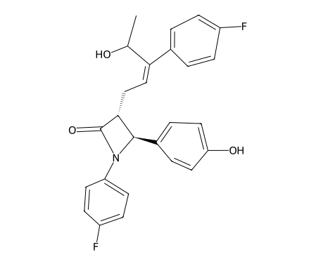 CC(O)/C(=C\C[C@H]1C(=O)N(c2ccc(F)cc2)[C@@H]1c1ccc(O)cc1)c1ccc(F)cc1